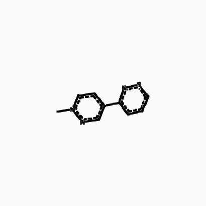 C[n+]1ccc(-c2cccnn2)cn1